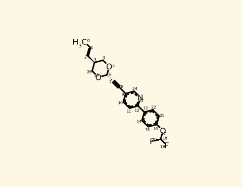 CC=C[C@H]1CO[C@H](C#Cc2ccc(-c3ccc(OC(F)F)cc3)nc2)OC1